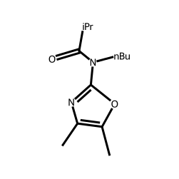 CCCCN(C(=O)C(C)C)c1nc(C)c(C)o1